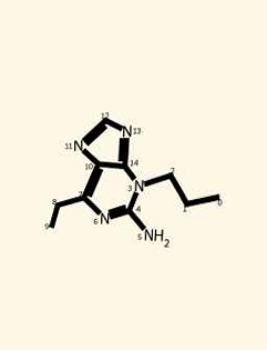 CCCn1c(N)nc(CC)c2ncnc1-2